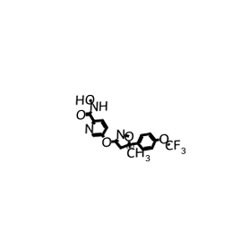 C[C@]1(c2ccc(OC(F)(F)F)cc2)CC(Oc2ccc(C(=O)NO)nc2)=NO1